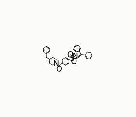 O=C(c1ccc(S(=O)(=O)n2cc(-c3ccccc3)c3ccccc32)cc1)N1CCC(Cc2ccccc2)CC1